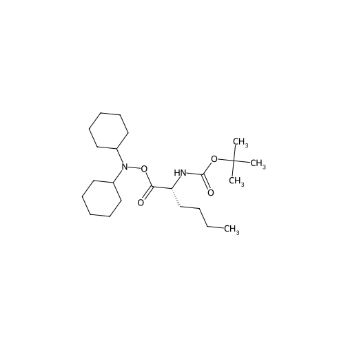 CCCC[C@@H](NC(=O)OC(C)(C)C)C(=O)ON(C1CCCCC1)C1CCCCC1